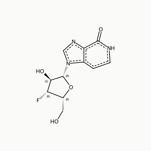 O=c1[nH]ccc2c1ncn2[C@@H]1O[C@H](CO)[C@H](F)[C@H]1O